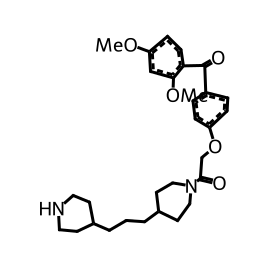 COc1ccc(C(=O)c2ccc(OCC(=O)N3CCC(CCCC4CCNCC4)CC3)cc2)c(OC)c1